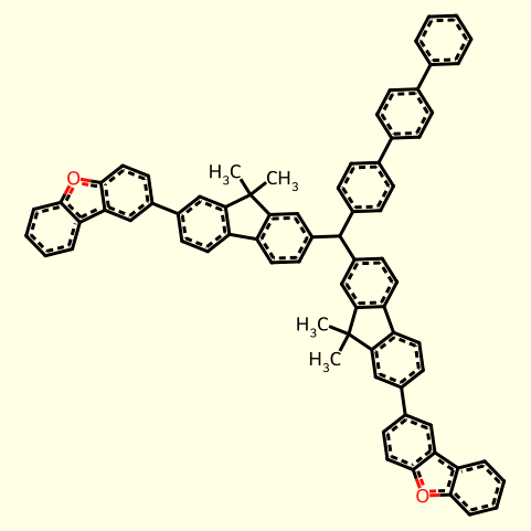 CC1(C)c2cc(-c3ccc4oc5ccccc5c4c3)ccc2-c2ccc(C(c3ccc(-c4ccc(-c5ccccc5)cc4)cc3)c3ccc4c(c3)C(C)(C)c3cc(-c5ccc6oc7ccccc7c6c5)ccc3-4)cc21